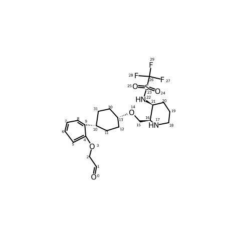 O=CCOc1ccccc1[C@H]1CC[C@@H](OC[C@@H]2NCCC[C@@H]2NS(=O)(=O)C(F)(F)F)CC1